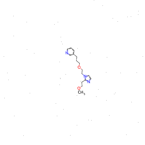 COCCc1nccn1CCOCCCc1cccnc1